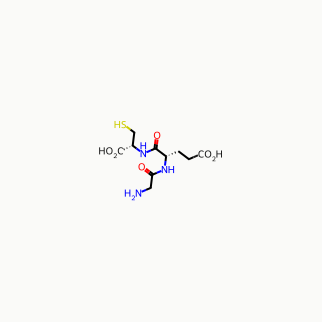 NCC(=O)N[C@@H](CCC(=O)O)C(=O)N[C@@H](CS)C(=O)O